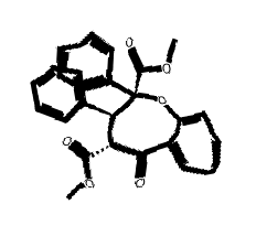 COC(=O)[C@H]1C(=O)c2ccccc2O[C@@](C(=O)OC)(c2ccccc2)[C@@H]1c1ccccc1